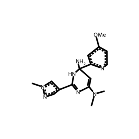 COc1ccnc(C2(N)C=C(N(C)C)N=C(c3cnn(C)c3)N2)c1